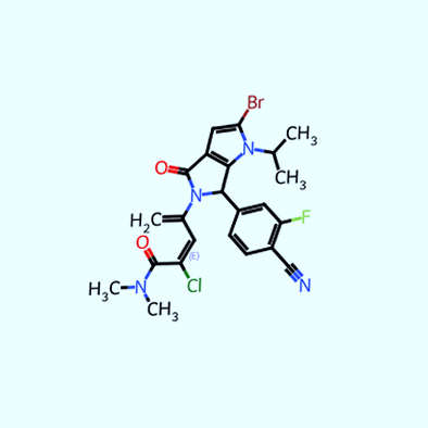 C=C(/C=C(/Cl)C(=O)N(C)C)N1C(=O)c2cc(Br)n(C(C)C)c2C1c1ccc(C#N)c(F)c1